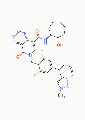 Cn1cc2c(-c3cc(F)c(Cn4cc(C(=O)N[C@H]5CCCCC[C@@H]5O)c5ncncc5c4=O)c(F)c3)cccc2n1